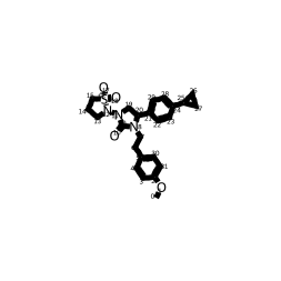 COc1ccc(CCN2C(=O)N(N3CCCS3(=O)=O)CC2c2ccc(C3CC3)cc2)cc1